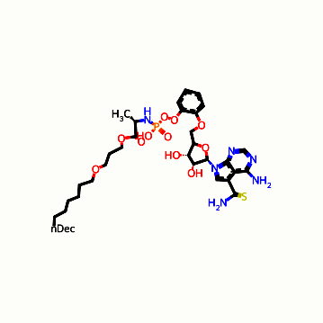 CCCCCCCCCCCCCCCCOCCCOC(=O)[C@@H](C)NP(=O)(O)OOc1ccccc1OCC1O[C@@H](n2cc(C(N)=S)c3c(N)ncnc32)[C@H](O)[C@@H]1O